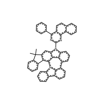 CC1(C)c2ccccc2-c2c1cc1c3c4c(cccc4n1-c1nc(-c4ccccc4)c4ccc5ccccc5c4n1)c1cccc4c5ccccc5n(c23)c14